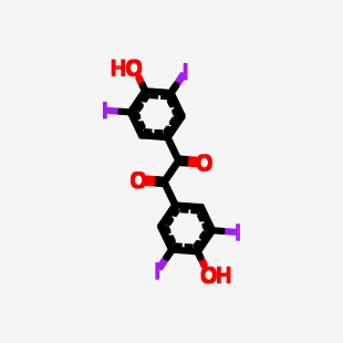 O=C(C(=O)c1cc(I)c(O)c(I)c1)c1cc(I)c(O)c(I)c1